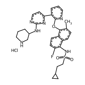 Cc1ccc2c(NS(=O)(=O)CCC3CC3)c(F)ccc2c1Oc1ncccc1-c1ccnc(NC2CCCNC2)n1.Cl